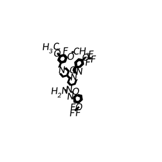 CCOc1cc(CN2CCC(C3CC(N(N)c4nc5cc(OC(F)(F)F)ccc5o4)CCN3c3nc4cc(OC(F)(F)F)ccc4o3)CC2)cc(OCC)c1F